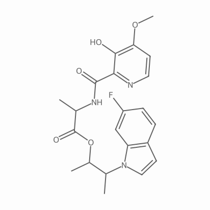 COc1ccnc(C(=O)NC(C)C(=O)OC(C)C(C)n2ccc3ccc(F)cc32)c1O